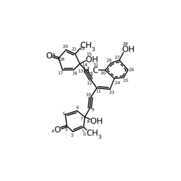 CC1=CC(=O)C=CC1(O)C#CC(C#CC1(O)C=CC(=O)C=C1C)=Cc1ccc(O)cc1C